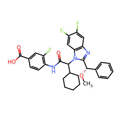 CO[C@@H](c1ccccc1)c1nc2cc(F)c(F)cc2n1C(C(=O)Nc1ccc(C(=O)O)cc1F)C1CCCCC1